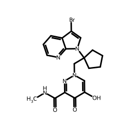 CNC(=O)c1nn(CC2(n3cc(Br)c4cccnc43)CCCC2)cc(O)c1=O